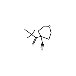 CC(C)(C)C(=O)C1(C#N)CCOCC1